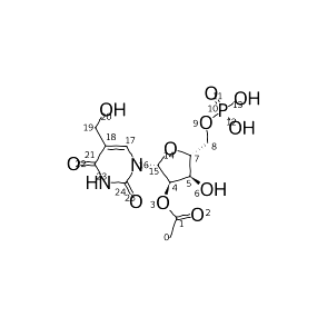 CC(=O)O[C@@H]1[C@H](O)[C@@H](COP(=O)(O)O)O[C@H]1n1cc(CO)c(=O)[nH]c1=O